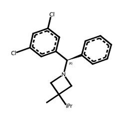 CC(C)C1(C)CN([C@H](c2ccccc2)c2cc(Cl)cc(Cl)c2)C1